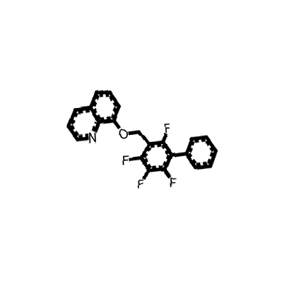 Fc1c(F)c(COc2cccc3cccnc23)c(F)c(-c2ccccc2)c1F